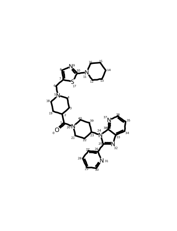 O=C(C1CCN(Cc2cnc(N3CCCCC3)s2)CC1)N1CCC(n2c(-c3ccccn3)nc3cccnc32)CC1